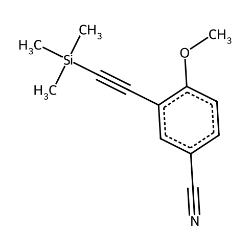 COc1ccc(C#N)cc1C#C[Si](C)(C)C